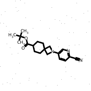 CC(C)(C)OC(=O)C1CCC2(CC1)CN(c1ccc(C#N)nc1)C2